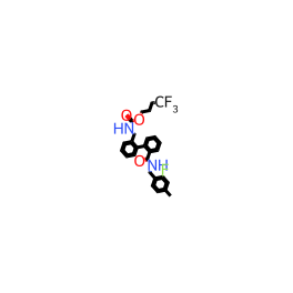 Cc1ccc(CNC(=O)c2ccccc2-c2ccccc2CNC(=O)OCCCC(F)(F)F)c(F)c1